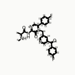 CNC(C)C(=O)Nc1ncc(-c2ccc(F)cc2)n(Cc2cncc(C(=O)c3ccc(F)cc3)c2)c1=O